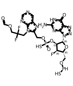 Nc1nc2c(nnn2[C@@H]2O[C@H](COPS)[C@@H](F)[C@H]2OP(=O)(S)OCc2nc3cncnc3n2CC(F)(F)COC=O)c(=O)[nH]1